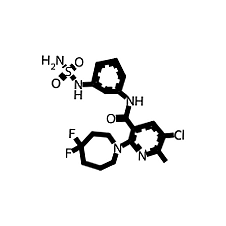 Cc1nc(N2CCCC(F)(F)CC2)c(C(=O)Nc2cccc(NS(N)(=O)=O)c2)cc1Cl